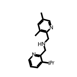 Cc1cnc(CNCc2ncccc2C(C)C)c(C)c1